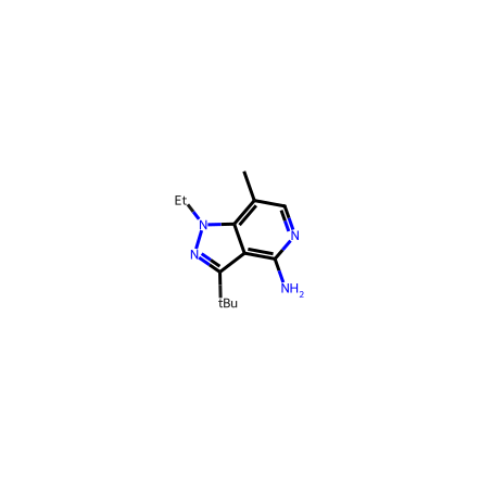 CCn1nc(C(C)(C)C)c2c(N)ncc(C)c21